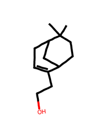 CC1(C)CCC2CC1CC=C2CCO